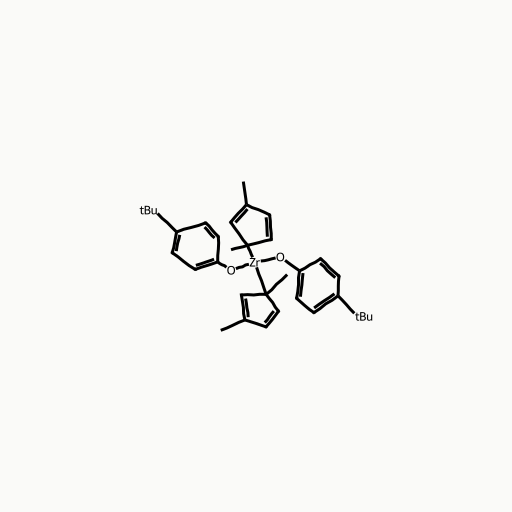 CC1=C[C](C)([Zr]([O]c2ccc(C(C)(C)C)cc2)([O]c2ccc(C(C)(C)C)cc2)[C]2(C)C=CC(C)=C2)C=C1